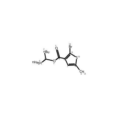 CCCCCCCC(CCCC)OC(=O)c1cc(C)sc1Br